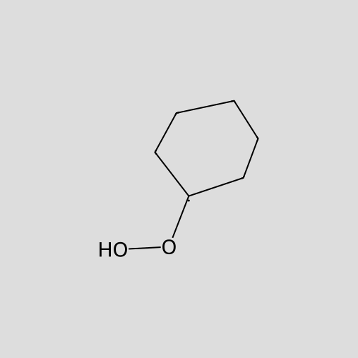 OO[C]1CCCCC1